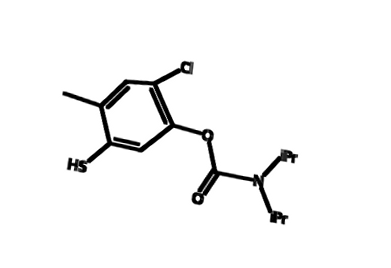 Cc1cc(Cl)c(OC(=O)N(C(C)C)C(C)C)cc1S